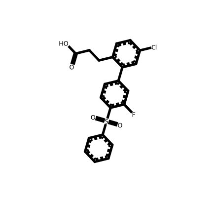 O=C(O)CCc1ccc(Cl)cc1-c1ccc(S(=O)(=O)c2ccccc2)c(F)c1